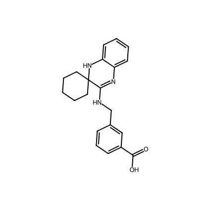 O=C(O)c1cccc(CNC2=Nc3ccccc3NC23CCCCC3)c1